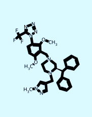 COc1ccc(-n2nnnc2C(F)(F)F)c(OC)c1CN1CCN(Cc2cnn(C)c2)[C@H](C(c2ccccc2)c2ccccc2)C1